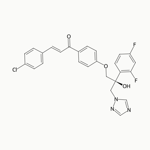 O=C(/C=C/c1ccc(Cl)cc1)c1ccc(OC[C@@](O)(Cn2cncn2)c2ccc(F)cc2F)cc1